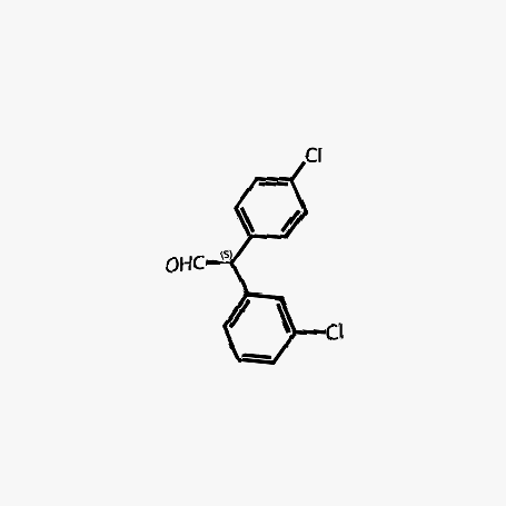 O=C[C@@H](c1ccc(Cl)cc1)c1cccc(Cl)c1